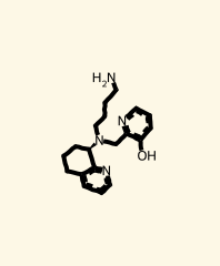 NCCCCN(Cc1ncccc1O)[C@@H]1CCCc2cccnc21